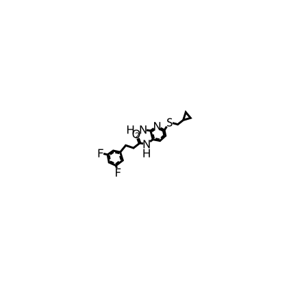 Nc1nc(SCC2CC2)ccc1NC(=O)CCc1cc(F)cc(F)c1